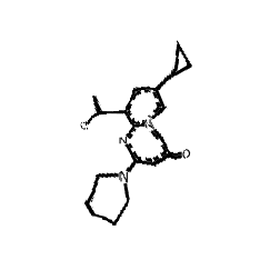 CC(Cl)c1cc(C2CC2)cn2c(=O)cc(N3CCCCC3)nc12